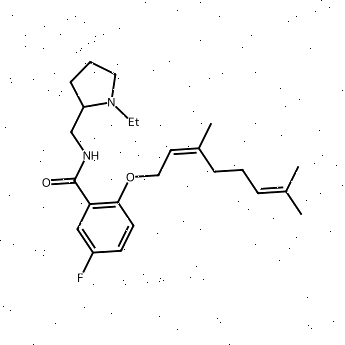 CCN1CCCC1CNC(=O)c1cc(F)ccc1OCC=C(C)CCC=C(C)C